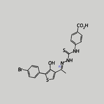 C/C(=N\NC(=S)Nc1ccc(C(=O)O)cc1)c1csc(-c2ccc(Br)cc2)c1O